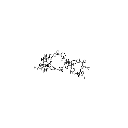 CO[C@@H](C)c1ncccc1-c1c2c3cc(ccc3n1CC(F)(F)F)-c1csc(n1)C[C@H](NC(=O)[C@H](C1CCCC1)N1CC[C@]3(CCN(C(=O)[C@H]4[C@@H](C5CC5)N4CC(=O)N(C)C)C3)C1)C(=O)N1CCC[C@H](N1)C(=O)OCC(C)(C)C2